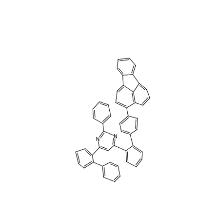 c1ccc(-c2nc(-c3ccccc3-c3ccccc3)cc(-c3ccccc3-c3ccc(-c4ccc5c6c(cccc46)-c4ccccc4-5)cc3)n2)cc1